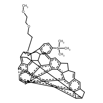 COCCOCCN1CC2C3=c4c5c6c7c8c9c(cc%10c%11c%12c%13c%14c(cc%15c%16c(c4c6c(c%16%14)c%13c7c%119)=C(C3)C%15)=CC%12C%10)=CC3CC2(C=5C83)C1c1ccc([Si](C)(C)C)cc1